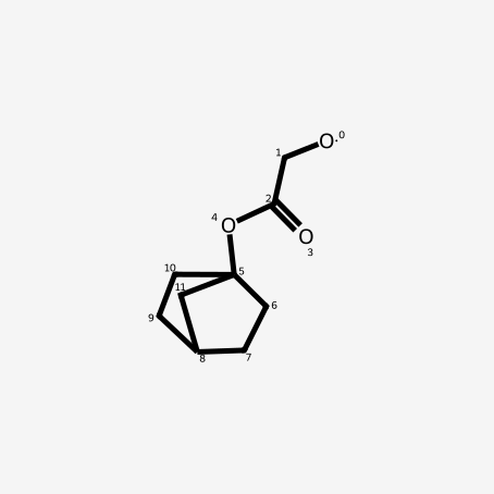 [O]CC(=O)OC12CCC(CC1)C2